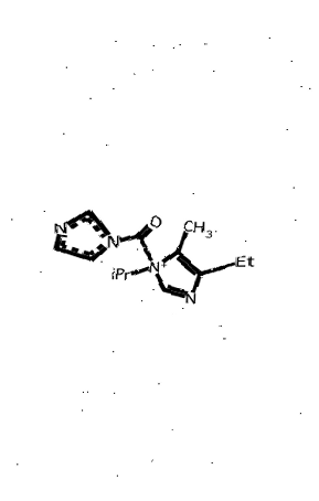 CCC1=C(C)[N+](C(=O)n2ccnc2)(C(C)C)C=N1